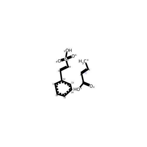 C/C=C/C(=O)O.O=S(=O)(O)C=Cc1ccccc1